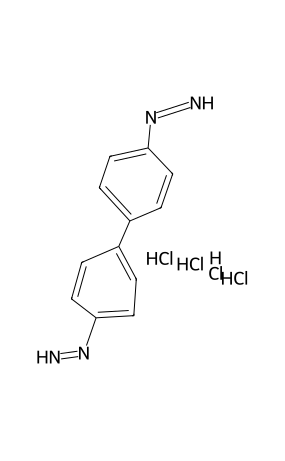 Cl.Cl.Cl.Cl.N=Nc1ccc(-c2ccc(N=N)cc2)cc1